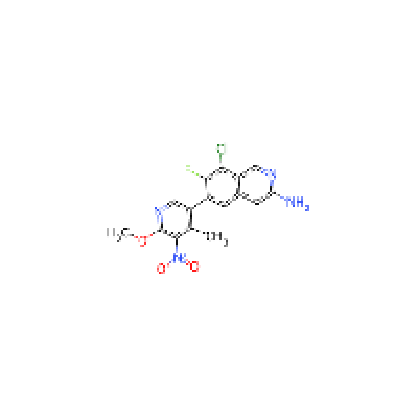 COc1ncc(-c2cc3cc(N)ncc3c(Cl)c2F)c(C)c1[N+](=O)[O-]